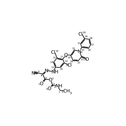 CCNC(=O)OC(=O)/C(C#N)=N\Nc1cc(Cl)c(Oc2ccc(=O)n(-c3cccc(Cl)c3)c2)c(Cl)c1